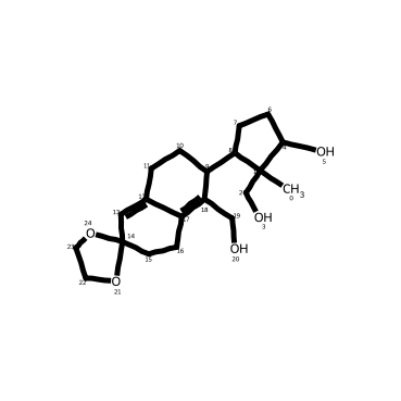 CC1(CO)C(O)CCC1C1CCC2=CC3(CCC2=C1CO)OCCO3